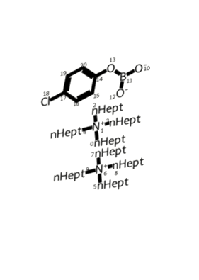 CCCCCCC[N+](CCCCCCC)(CCCCCCC)CCCCCCC.CCCCCCC[N+](CCCCCCC)(CCCCCCC)CCCCCCC.[O-]B([O-])Oc1ccc(Cl)cc1